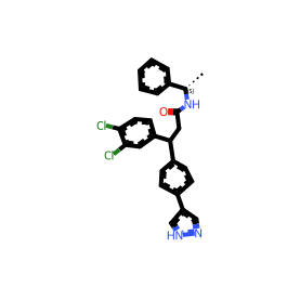 C[C@H](NC(=O)CC(c1ccc(-c2cn[nH]c2)cc1)c1ccc(Cl)c(Cl)c1)c1ccccc1